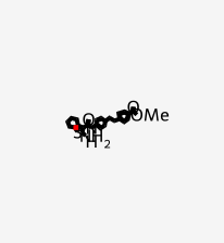 COC(=O)c1ccc(CCC2C=CC(NC(=O)c3c(N)sc4c3CCCC4)=CC2)cc1